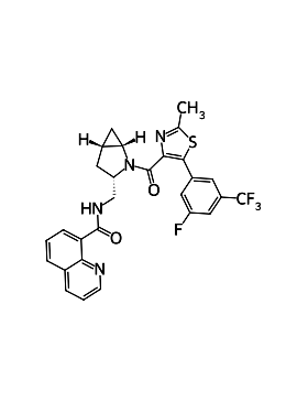 Cc1nc(C(=O)N2[C@H](CNC(=O)c3cccc4cccnc34)C[C@@H]3C[C@@H]32)c(-c2cc(F)cc(C(F)(F)F)c2)s1